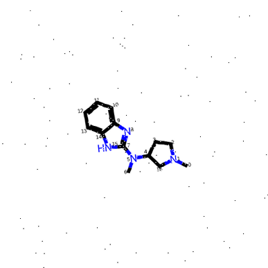 CN1CCC(N(C)c2nc3ccccc3[nH]2)C1